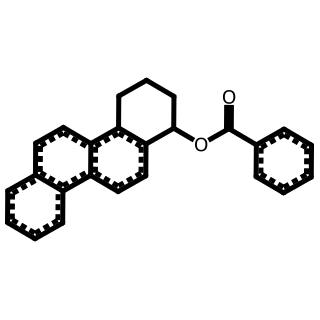 O=C(OC1CCCc2c1ccc1c2ccc2ccccc21)c1ccccc1